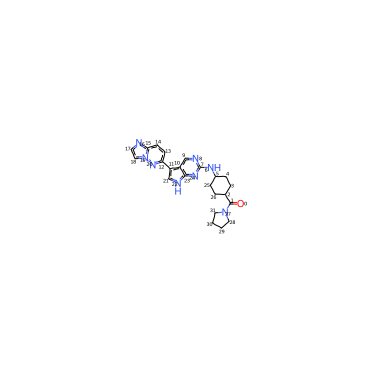 O=C(C1CCC(Nc2ncc3c(-c4ccc5nccn5n4)c[nH]c3n2)CC1)N1CCCC1